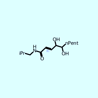 CCCCCC(O)C(O)/C=C/C(=O)NCC(C)C